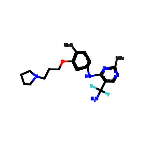 CNc1ncc(C(N)(F)F)c(Nc2ccc(OC)c(OCCCN3CCCC3)c2)n1